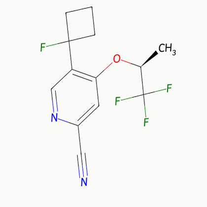 C[C@H](Oc1cc(C#N)ncc1C1(F)CCC1)C(F)(F)F